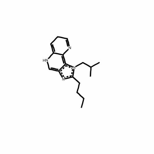 CCCCc1nc2c(n1CC(C)C)=C1N=CCC=C1NC=2